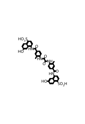 Cc1cc(C(=O)Nc2ccc(S(=O)(=O)O)c3ccc(O)cc23)ccc1NC(=O)C(=O)Nc1ccc(C(=O)Nc2ccc(S(=O)(=O)O)c3ccc(O)cc23)cc1C